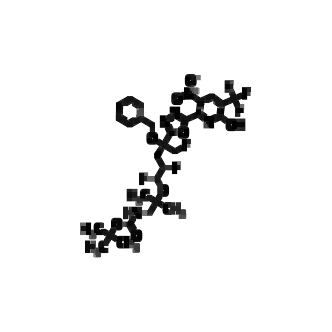 CC(C)(C)OC(=O)NCC(C)(C)OC(F)C(F)C[C@@](CF)(OCc1ccccc1)c1nnc(-c2nc(O)c(C(F)(F)F)cc2[N+](=O)[O-])o1